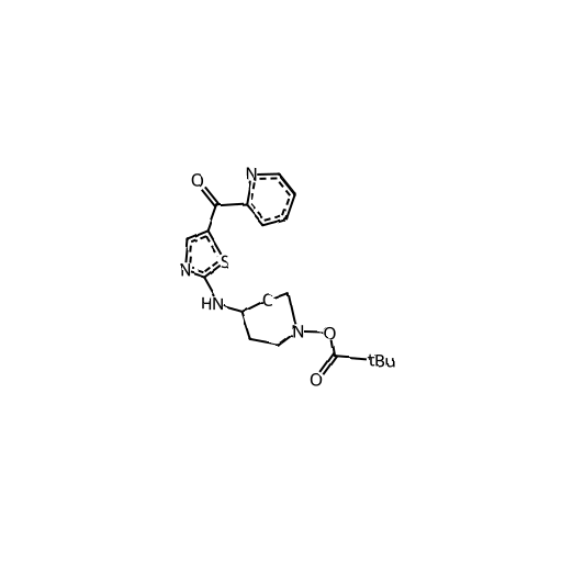 CC(C)(C)C(=O)ON1CCC(Nc2ncc(C(=O)c3ccccn3)s2)CC1